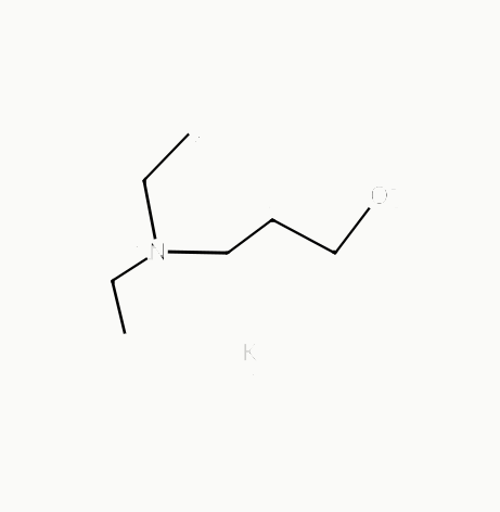 CCN(CC)CCC[O-].[K+]